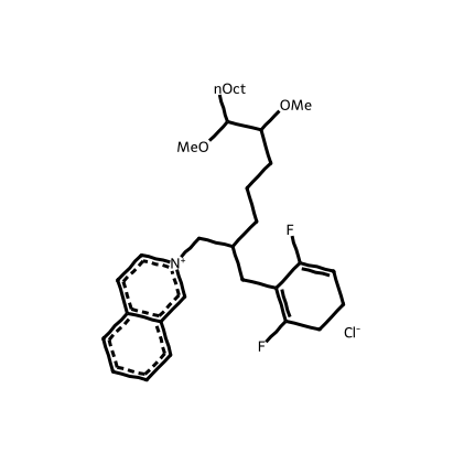 CCCCCCCCC(OC)C(CCCC(CC1=C(F)CCC=C1F)C[n+]1ccc2ccccc2c1)OC.[Cl-]